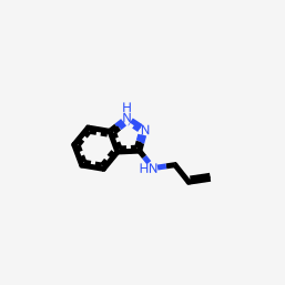 C=CCNc1n[nH]c2ccccc12